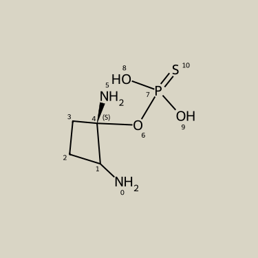 NC1CC[C@]1(N)OP(O)(O)=S